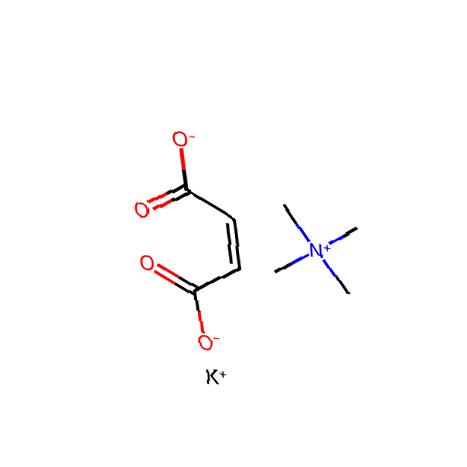 C[N+](C)(C)C.O=C([O-])/C=C\C(=O)[O-].[K+]